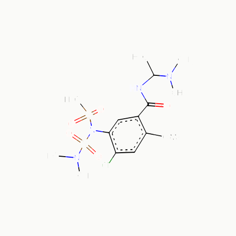 COc1cc(Cl)c(N(S(C)(=O)=O)S(=O)(=O)N(C)C)cc1C(=O)NC(C)N(C)C